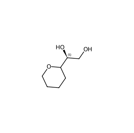 OC[C@H](O)C1CCCCO1